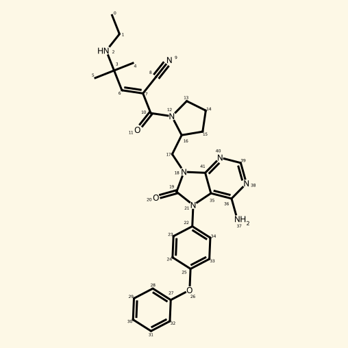 CCNC(C)(C)C=C(C#N)C(=O)N1CCCC1Cn1c(=O)n(-c2ccc(Oc3ccccc3)cc2)c2c(N)ncnc21